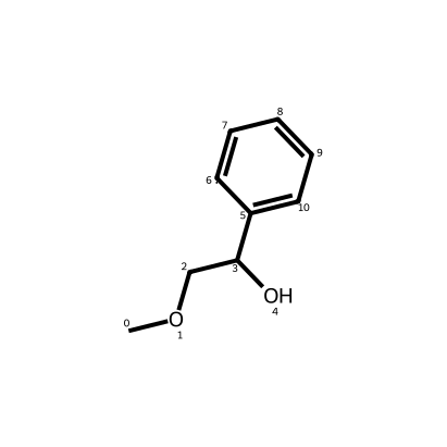 COCC(O)c1[c]cccc1